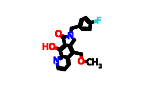 COCc1c2c(c(O)c3ncccc13)C(=O)N(Cc1ccc(F)cc1)C2